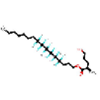 C=C(CCCO)C(=O)OCCCC(F)(F)C(F)(F)C(F)(F)C(F)(F)C(F)(F)C(F)(F)CCCCCCC